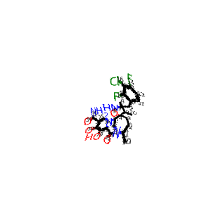 CC1CCC2(ONC(C)(Cc3ccc(F)c(Cl)c3F)C2C)C2CN1C(=O)c1c(O)c(=O)c(C(N)=O)cn12